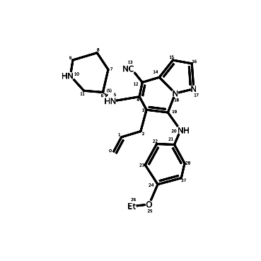 C=CCc1c(N[C@H]2CCCNC2)c(C#N)c2ccnn2c1Nc1ccc(OCC)cc1